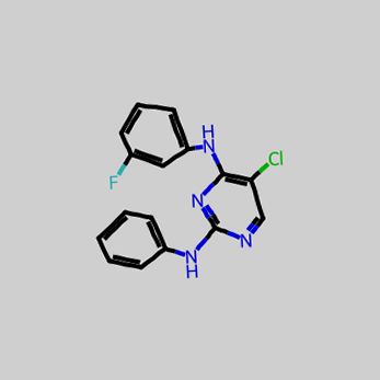 Fc1cccc(Nc2nc(Nc3ccccc3)ncc2Cl)c1